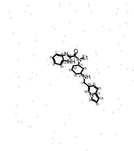 CCN(C(=O)c1nc2ccccc2[nH]1)C1CCCC(NCc2ccc3cccn3c2)C1